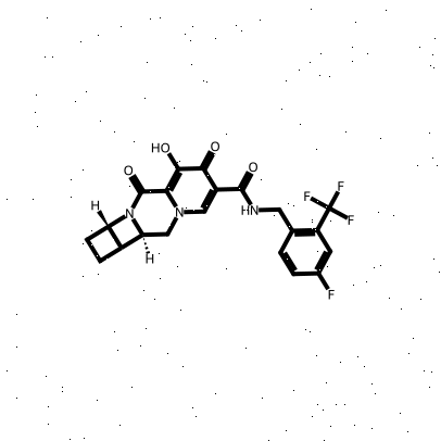 O=C(NCc1ccc(F)cc1C(F)(F)F)c1cn2c(c(O)c1=O)C(=O)N1[C@H]3CCC3[C@@H]1C2